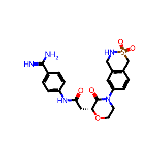 N=C(N)c1ccc(NC(=O)C[C@H]2OCCN(c3ccc4c(c3)CNS(=O)(=O)C4)C2=O)cc1